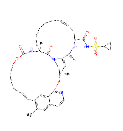 Cc1cc2ccnc3c2cc1/C=C/CCCCOC(=O)N[C@H]1CCCCC/C=C\CC(C(=O)NS(=O)(=O)C2CC2)NC(=O)[C@@H]2C[C@H](CN2C1=O)O3